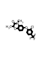 CC1Oc2ccc(Oc3ccc(C(F)(F)F)cc3Cl)cc2N(C)C1=O